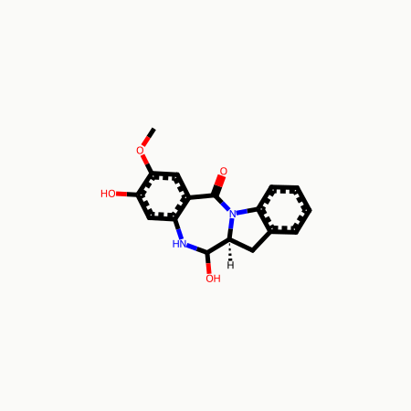 COc1cc2c(cc1O)NC(O)[C@@H]1Cc3ccccc3N1C2=O